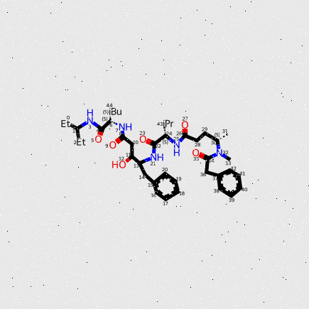 CCC(CC)NC(=O)[C@@H](NC(=O)CC(O)C(Cc1ccccc1)NC(=O)[C@@H](NC(=O)CC[C@H](C)N(C)C(=O)Cc1ccccc1)C(C)C)[C@@H](C)CC